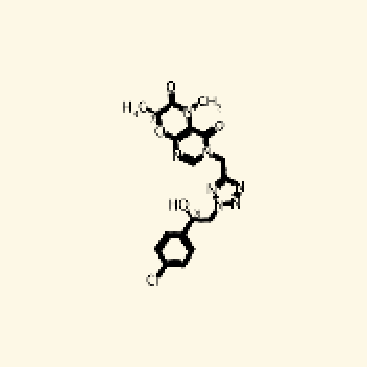 C[C@@H]1Oc2ncn(Cc3nnn(C[C@H](O)c4ccc(Cl)cc4)n3)c(=O)c2N(C)C1=O